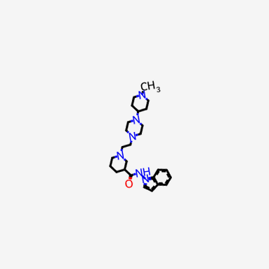 CN1CCC(N2CCN(CCN3CCCC(C(=O)Nn4ccc5ccccc54)C3)CC2)CC1